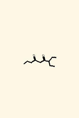 CCCC(=O)CC(=O)C(CC)CC